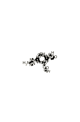 CC(C)OC(=O)OCSP1(=O)OC[C@H]2O[C@@H](n3cnc4c(N)ncnc43)C[C@@H]2OP(=O)(O)OC[C@H]2O[C@@H](n3ccc(=O)[nH]c3=O)[C@H](F)[C@@H]2O1